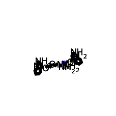 N/C(=C\N(N)CCOCCOc1cc(N)nc2ccccc12)COc1cc(N)nc2ccccc12